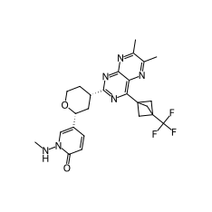 CNn1cc([C@H]2C[C@@H](c3nc(C45CC(C(F)(F)F)(C4)C5)c4nc(C)c(C)nc4n3)CCO2)ccc1=O